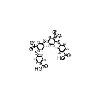 O=C(O)c1ccc(Sc2ccc(Sc3ccc(Sc4ccc(C(=O)O)cc4)c([N+](=O)[O-])c3)cc2[N+](=O)[O-])cc1